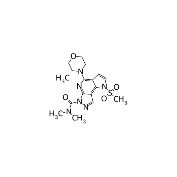 C[C@@H]1COCCN1c1nc2c(cnn2C(=O)N(C)C)c2c1ccn2S(C)(=O)=O